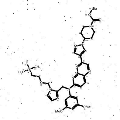 COc1cc(OC)cc(N(Cc2nccn2COCC[Si](C)(C)C)c2ccc3ncc(-c4cnn(C5CCN(C(=O)OC(C)(C)C)CC5)c4)nc3n2)c1